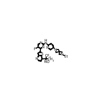 CCN1CC2(C1)CN(c1ccc(Nc3ncc(F)c(-c4cc5nccc(C(C)(N=O)C(F)(F)F)c5s4)n3)nc1)C2